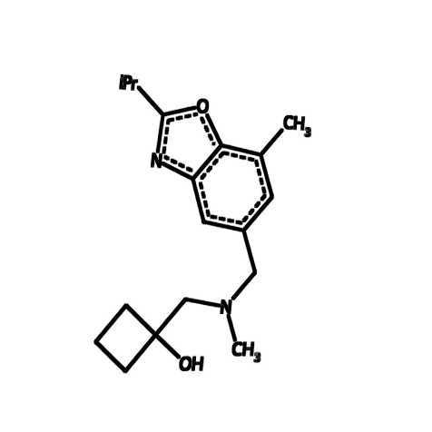 Cc1cc(CN(C)CC2(O)CCC2)cc2nc(C(C)C)oc12